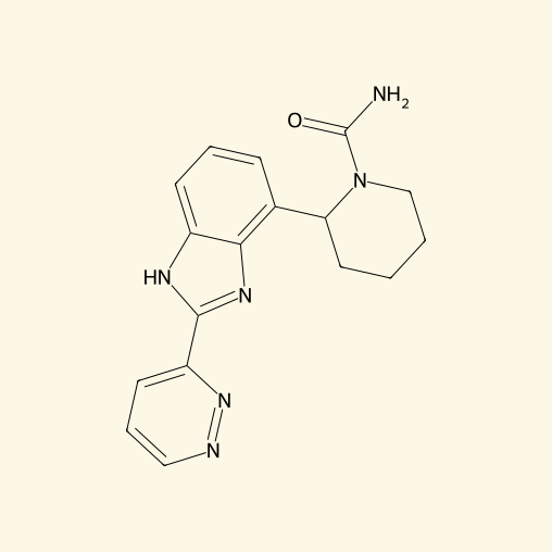 NC(=O)N1CCCCC1c1cccc2[nH]c(-c3cccnn3)nc12